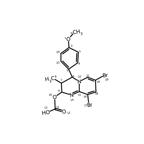 COc1ccc(C2C(C)C(OC(=O)O)N=C3C(Br)=CC(Br)=CN32)cc1